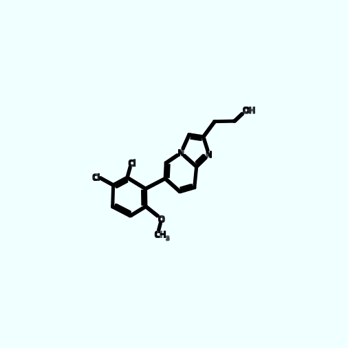 COc1ccc(Cl)c(Cl)c1-c1ccc2nc(CCO)cn2c1